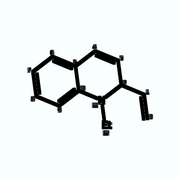 C=CC1C=Cc2ccccc2N1CC